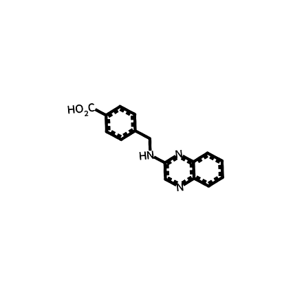 O=C(O)c1ccc(CNc2cnc3ccccc3n2)cc1